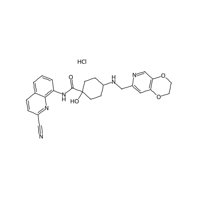 Cl.N#Cc1ccc2cccc(NC(=O)C3(O)CCC(NCc4cc5c(cn4)OCCO5)CC3)c2n1